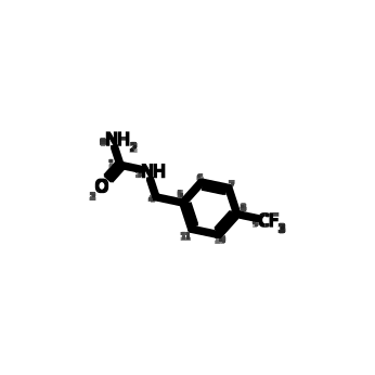 NC(=O)NCc1ccc(C(F)(F)F)cc1